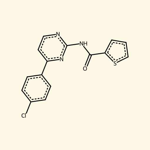 O=C(Nc1nccc(-c2ccc(Cl)cc2)n1)c1cccs1